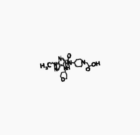 CCn1ncc2c(NC3CCOCC3)c(C(=O)NC3CCN(CC(=O)O)CC3)cnc21